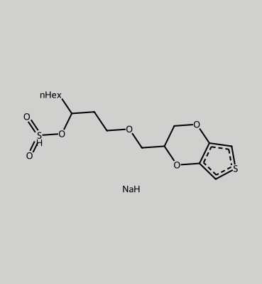 CCCCCCC(CCOCC1COc2cscc2O1)O[SH](=O)=O.[NaH]